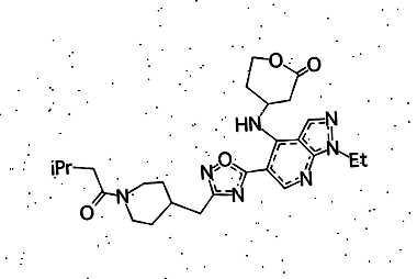 CCn1ncc2c(NC3CCOC(=O)C3)c(-c3nc(CC4CCN(C(=O)CC(C)C)CC4)no3)cnc21